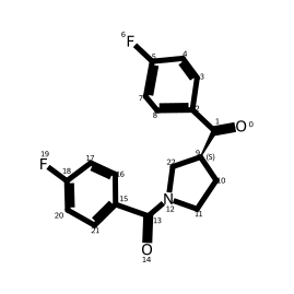 O=C(c1ccc(F)cc1)[C@H]1CCN(C(=O)c2ccc(F)cc2)C1